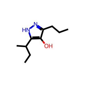 CCCc1n[nH]c(C(C)CC)c1O